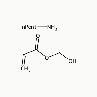 C=CC(=O)OCO.CCCCCN